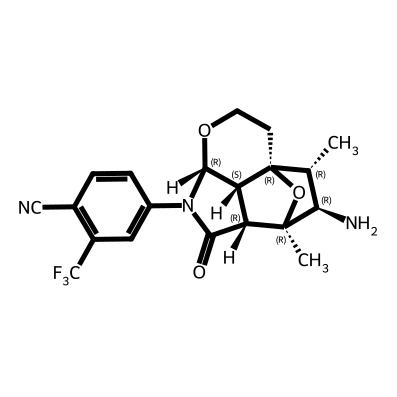 C[C@@H]1[C@@H](N)[C@]2(C)O[C@]13CCO[C@@H]1[C@H]3[C@H]2C(=O)N1c1ccc(C#N)c(C(F)(F)F)c1